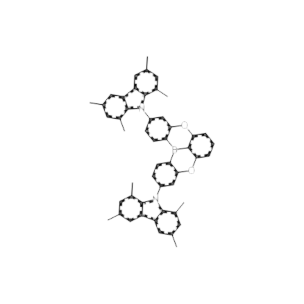 Cc1cc(C)c2c(c1)c1cc(C)cc(C)c1n2-c1ccc2c(c1)Oc1cccc3c1B2c1ccc(-n2c4c(C)cc(C)cc4c4cc(C)cc(C)c42)cc1O3